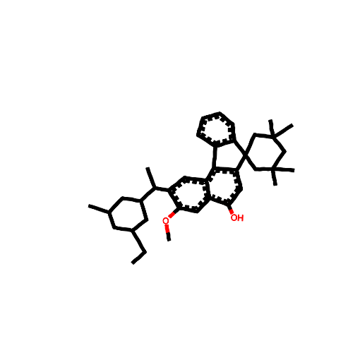 CCC1CC(C)CC(C(C)c2cc3c4c(cc(O)c3cc2OC)C2(CC(C)(C)CC(C)(C)C2)c2ccccc2-4)C1